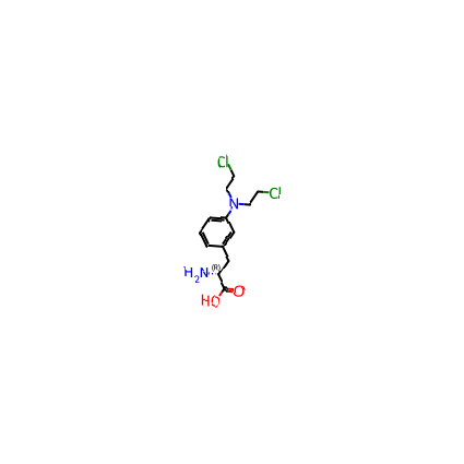 N[C@H](Cc1cccc(N(CCCl)CCCl)c1)C(=O)O